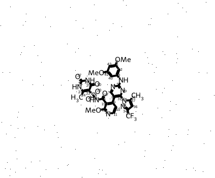 COc1cc(Nc2ncc(-c3ccnc(OC)c3C(=O)NS(=O)(=O)c3c(C)[nH]c(=O)[nH]c3=O)c(-n3nc(C(F)(F)F)cc3C)n2)cc(OC)c1